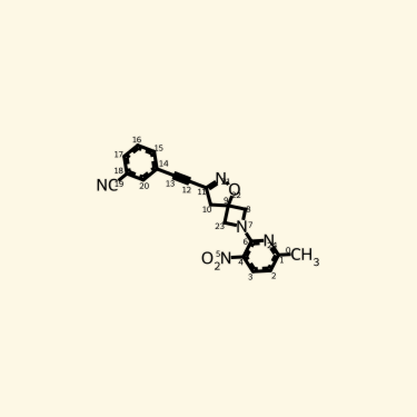 Cc1ccc([N+](=O)[O-])c(N2CC3(CC(C#Cc4cccc(C#N)c4)=NO3)C2)n1